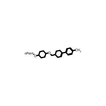 CCCCCOC1CCC(OCC2CC=C(c3ccc(C)cc3)CC2)CC1